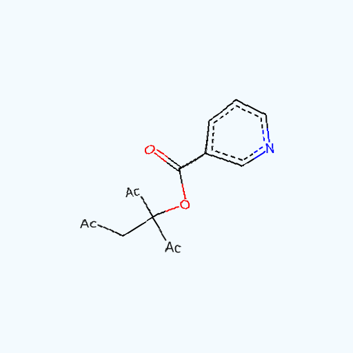 CC(=O)CC(OC(=O)c1cccnc1)(C(C)=O)C(C)=O